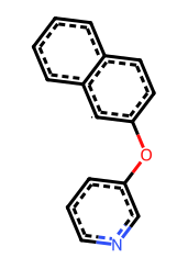 [c]1c(Oc2cccnc2)ccc2ccccc12